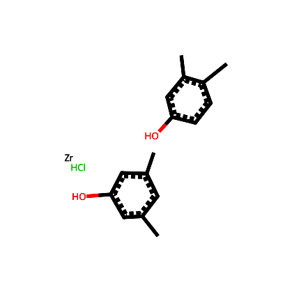 Cc1cc(C)cc(O)c1.Cc1ccc(O)cc1C.Cl.[Zr]